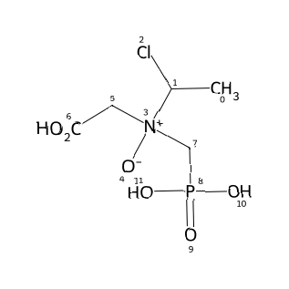 CC(Cl)[N+]([O-])(CC(=O)O)CP(=O)(O)O